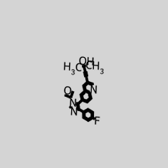 CC(C)(O)C#Cc1cnc2ccc(-c3c(-c4ccc(F)cc4)ncn3C3COC3)cc2c1